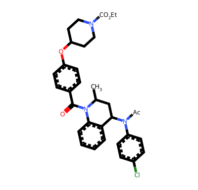 CCOC(=O)N1CCC(Oc2ccc(C(=O)N3c4ccccc4C(N(C(C)=O)c4ccc(Cl)cc4)CC3C)cc2)CC1